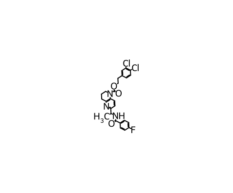 CC(NC(=O)c1ccc(F)cc1)c1ccc2c(n1)CCCN2C(=O)OCCc1ccc(Cl)c(Cl)c1